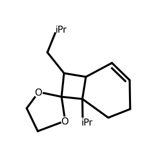 CC(C)CC1C2C=CCCC2(C(C)C)C12OCCO2